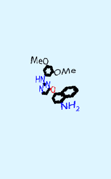 COc1cc(Nc2nccc(Oc3ccc(N)c4ccccc34)n2)cc(OC)c1